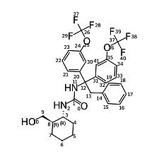 O=C(N[C@@H]1CCCC[C@H]1CO)NC(Cc1ccccc1)(c1cccc(OC(F)(F)F)c1)c1cccc(OC(F)(F)F)c1